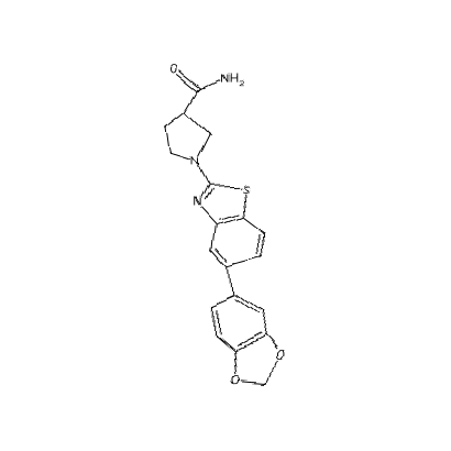 NC(=O)C1CCN(c2nc3cc(-c4ccc5c(c4)OCO5)ccc3s2)C1